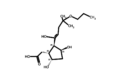 CCCOC(C)(C)CC=C(O)[C@@H]1[C@@H](CC(=O)O)[C@@H](O)C[C@@H]1O